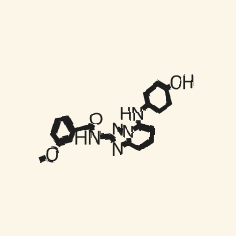 COc1cccc(C(=O)Nc2nc3cccc(NC4CCC(O)CC4)n3n2)c1